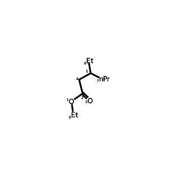 [CH2]COC(=O)CC(CC)CCC